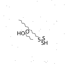 CCCCC(=O)O.CCCCCCCCCCCCSC(=S)S